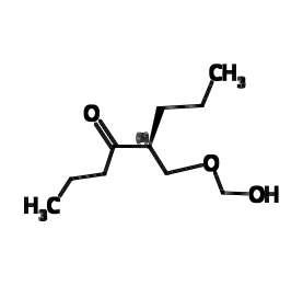 CCCC(=O)[C@@H](CCC)COCO